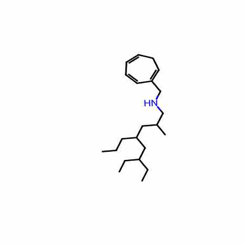 CCCC(CC(C)CNCC1=CCC=CC=C1)CC(CC)CC